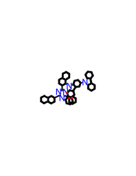 c1ccc(-c2nc(-c3ccc4ccccc4c3)nc(-c3ccc4ccccc4c3-n3c4ccc(-n5c6ccccc6c6ccccc65)cc4c4cc5ccccc5cc43)n2)cc1